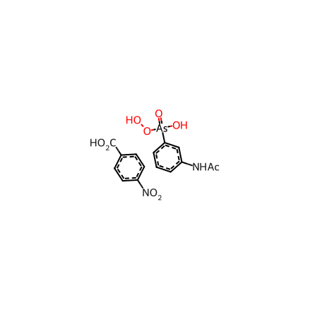 CC(=O)Nc1cccc([As](=O)(O)OO)c1.O=C(O)c1ccc([N+](=O)[O-])cc1